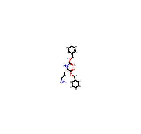 NCCC[C@H](NC(=O)OCc1ccccc1)C(=O)OCc1ccccc1